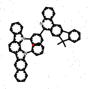 CC1(C)c2ccccc2-c2cc3c(cc21)c(-c1cccc(-n2c4ccccc4c4ccc5c6cc7ccccc7cc6n(-c6ccccc6)c5c42)c1)nc1ccccc13